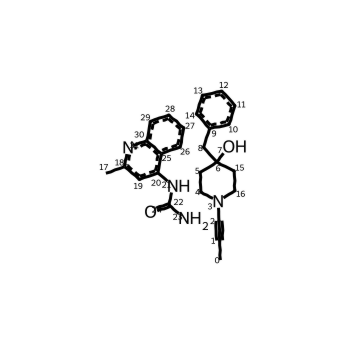 CC#CN1CCC(O)(Cc2ccccc2)CC1.Cc1cc(NC(N)=O)c2ccccc2n1